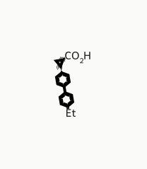 CCc1ccc(-c2ccc([C@@H]3C[C@H]3C(=O)O)cc2)cc1